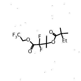 CCC(C)(C)C(=O)OC(C)(C)C(F)(F)C(=O)OCC(F)(F)F